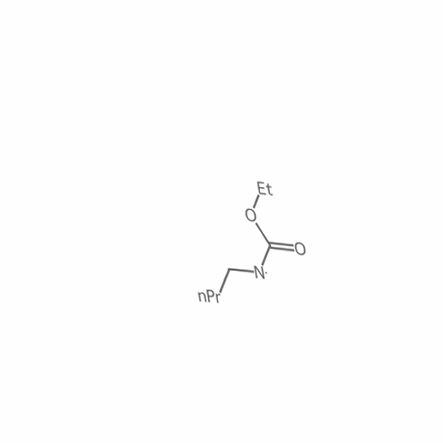 CCCC[N]C(=O)OCC